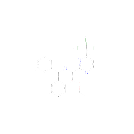 CCOC(=O)C(N=C(c1ccccc1)c1ccccc1)c1nccc(C(F)(F)F)n1